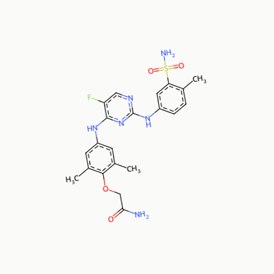 Cc1ccc(Nc2ncc(F)c(Nc3cc(C)c(OCC(N)=O)c(C)c3)n2)cc1S(N)(=O)=O